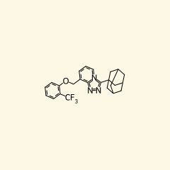 FC(F)(F)c1ccccc1OCc1cccn2c(C34CC5CC(CC(C5)C3)C4)nnc12